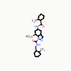 O=C(Nc1cc(C(=O)O)c2c(cnn2C(=O)NCc2ccccc2C(F)(F)F)c1)c1ccccc1C(F)(F)F